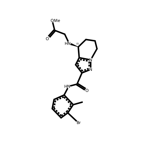 COC(=O)CN[C@H]1CCCn2nc(C(=O)Nc3cccc(Br)c3C)cc21